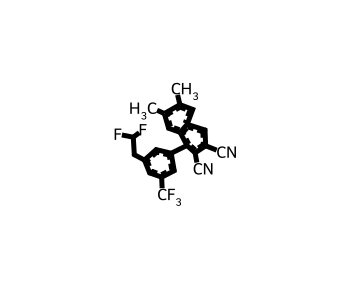 Cc1cc2cc(C#N)c(C#N)c(-c3cc(CC(F)F)cc(C(F)(F)F)c3)c2cc1C